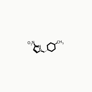 C[C@H]1CC[C@H](Cn2ccc([N+](=O)[O-])n2)CC1